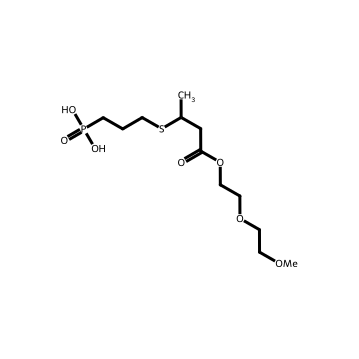 COCCOCCOC(=O)CC(C)SCCCP(=O)(O)O